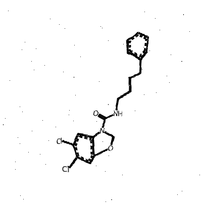 O=C(NCCCCc1ccccc1)N1COc2cc(Cl)c(Cl)cc21